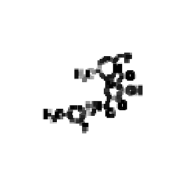 Cc1ccc(CNC(=O)c2cn3c(c(O)c2=O)C(=O)N2CC3C(C)C=CC2CF)c(F)c1